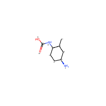 CC1C[C@@H](N)CCC1NC(=O)O